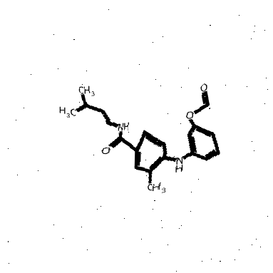 Cc1cc(C(=O)NCCC(C)C)ccc1Nc1cccc(OC=O)c1